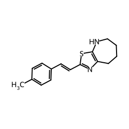 Cc1ccc(C=Cc2nc3c(s2)NCCCC3)cc1